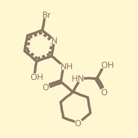 O=C(O)NC1(C(=O)Nc2nc(Br)ccc2O)CCOCC1